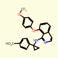 O=C(O)c1ccc(C2(Nc3nccc4cccc(Oc5ccc(OC(F)(F)F)cc5)c34)CC2)cc1